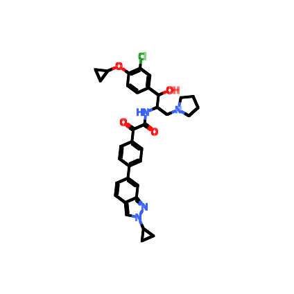 O=C(NC(CN1CCCC1)C(O)c1ccc(OC2CC2)c(Cl)c1)C(=O)c1ccc(-c2ccc3cn(C4CC4)nc3c2)cc1